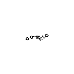 O=C(O)C(=O)N(Cc1ccncc1)Cc1ccc(S(=O)(=O)NCCc2ccc(-c3ccccc3)cc2)s1